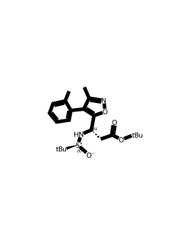 Cc1ccccc1-c1c(C)noc1[C@H](CC(=O)OC(C)(C)C)N[S@@+]([O-])C(C)(C)C